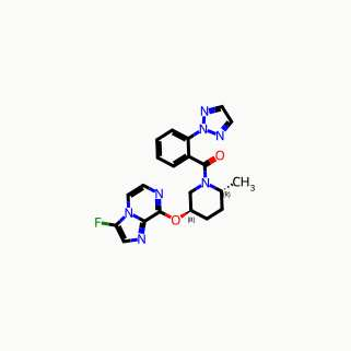 C[C@@H]1CC[C@@H](Oc2nccn3c(F)cnc23)CN1C(=O)c1ccccc1-n1nccn1